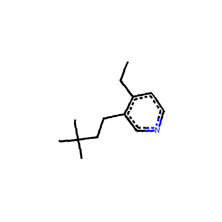 CCc1ccncc1CCC(C)(C)C